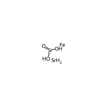 O=[Si](O)O.[Fe].[SrH2]